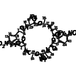 CC(C)CC1C(=O)OC(Cc2ccc([N+](=O)[O-])cc2)C(=O)N(C)C(CC(C)C)C(=O)OC(C)CN(C)C(CC(C)C)C(=O)OC(Cc2ccc([N+](=O)[O-])cc2)C(=O)N(C)C(CC(C)C)C(=O)OC(C)CN1C